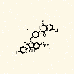 O=C(NC1CCC(CN2C(=O)C(O)(c3ccc(F)cn3)c3ccc(OC(F)(F)F)cc32)CC1)c1cc(Cl)cnc1C(F)F